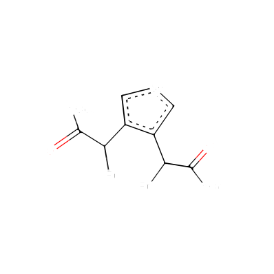 CCCCCCCCC(=O)C(CC)c1c[se]cc1C(CC)C(=O)CCCCCCCC